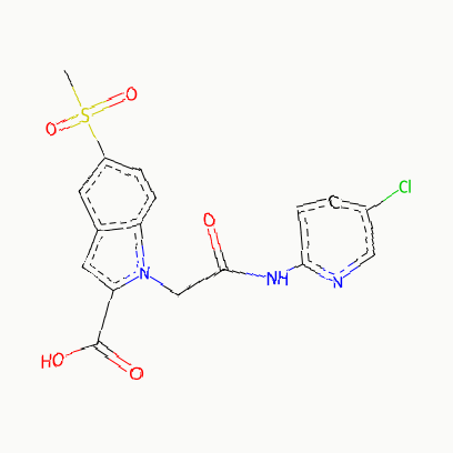 CS(=O)(=O)c1ccc2c(c1)cc(C(=O)O)n2CC(=O)Nc1ccc(Cl)cn1